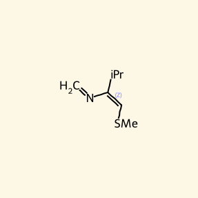 C=N/C(=C\SC)C(C)C